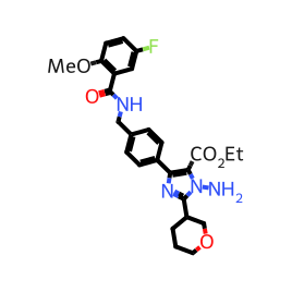 CCOC(=O)c1c(-c2ccc(CNC(=O)c3cc(F)ccc3OC)cc2)nc(C2CCCOC2)n1N